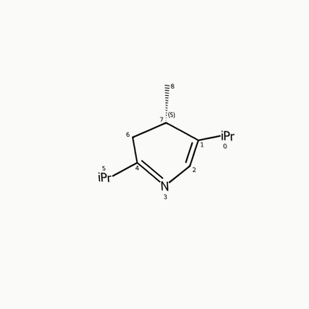 CC(C)C1=CN=C(C(C)C)C[C@@H]1C